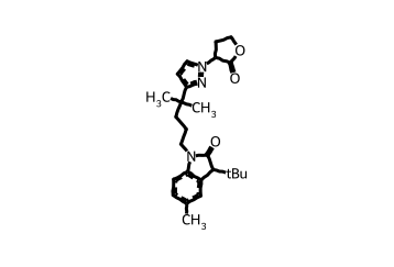 Cc1ccc2c(c1)C(C(C)(C)C)C(=O)N2CCCC(C)(C)c1ccn(C2CCOC2=O)n1